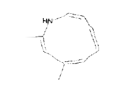 Cc1ccccc[nH]c(C)c1